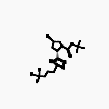 CC(C)(C)OC(=O)N1C[C@H](F)C[C@H]1c1nnc(CCCC(F)(F)F)[nH]1